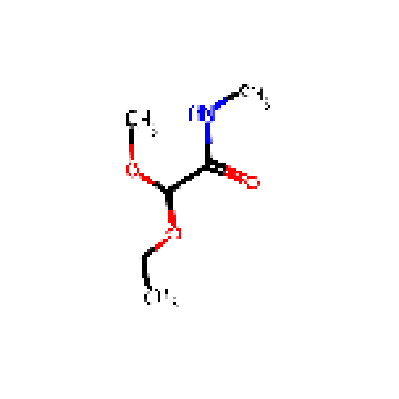 CCOC(OC)C(=O)NC